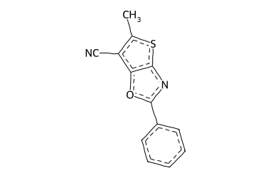 Cc1sc2nc(-c3ccccc3)oc2c1C#N